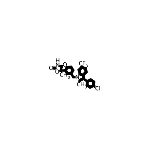 Cc1c(-c2ccc(Cl)cc2)c2ccc(C(F)(F)F)cc2n1Cc1cccc([C@]2(C)OC(=O)NC2=O)c1